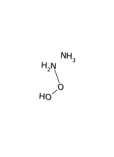 N.NOO